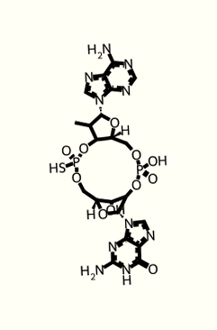 CC1C2OP(=O)(S)OC[C@H]3O[C@@H](n4cnc5c(=O)[nH]c(N)nc54)C(OP(=O)(O)OC[C@H]2O[C@H]1n1cnc2c(N)ncnc21)C3O